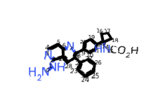 NNc1nccc2nc(-c3ccc(C4(NC(=O)O)CCC4)cc3)c(-c3ccccc3)cc12